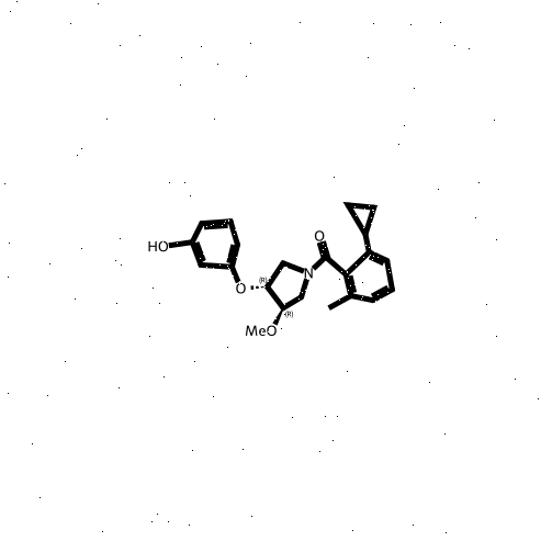 CO[C@@H]1CN(C(=O)c2c(C)cccc2C2CC2)C[C@H]1Oc1cccc(O)c1